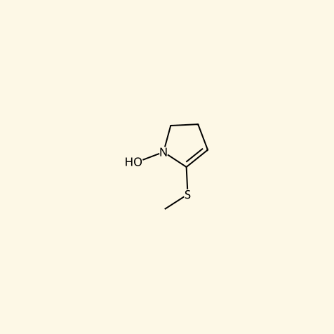 CSC1=CCCN1O